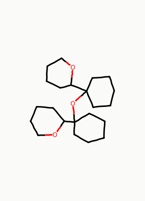 C1CCC(OC2(C3CCCCO3)CCCCC2)(C2CCCCO2)CC1